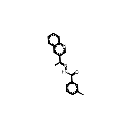 C/C(=N\NC(=O)c1cccc(C)c1)c1cnc2ccccc2c1